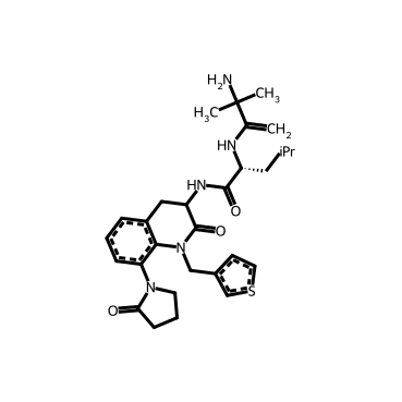 C=C(N[C@H](CC(C)C)C(=O)NC1Cc2cccc(N3CCCC3=O)c2N(Cc2ccsc2)C1=O)C(C)(C)N